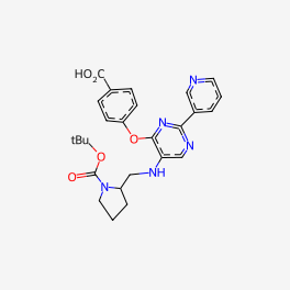 CC(C)(C)OC(=O)N1CCCC1CNc1cnc(-c2cccnc2)nc1Oc1ccc(C(=O)O)cc1